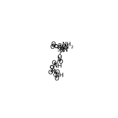 Nc1ncnc2c1nc(Sc1cc3c(cc1Br)OCO3)n2CCC1CCN(C(=O)CCC(=O)Nc2cccc3c2CN(C2CCC(=O)NC2=O)C3=O)CC1